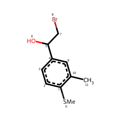 CSc1ccc(C(O)CBr)cc1C